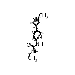 CCNC(=O)Nc1cnc(-c2cnn(C)c2)cn1